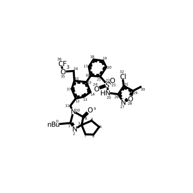 CCCCC1=NC2(CCCC2)C(=O)N1Cc1ccc(-c2ccccc2S(=O)(=O)Nc2noc(C)c2Cl)c(COC(F)(F)F)c1